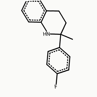 CC1(c2ccc(F)cc2)CCc2ccccc2N1